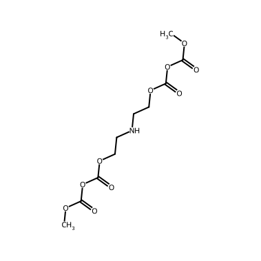 COC(=O)OC(=O)OCCNCCOC(=O)OC(=O)OC